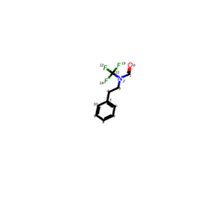 O=CN(CCc1ccccc1)C(F)(F)F